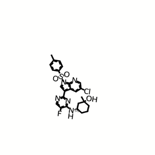 Cc1ccc(S(=O)(=O)n2cc(-c3ncc(F)c(N[C@H]4CCCC(C)(O)C4)n3)c3cc(Cl)cnc32)cc1